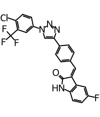 O=C1Nc2ccc(F)cc2/C1=C/c1ccc(-c2cn(-c3ccc(Cl)c(C(F)(F)F)c3)nn2)cc1